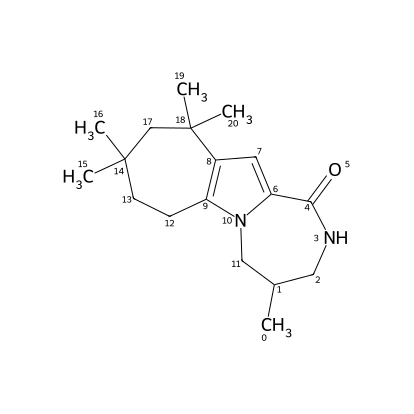 CC1CNC(=O)c2cc3c(n2C1)CCC(C)(C)CC3(C)C